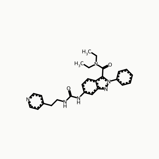 CCN(CC)C(=O)c1c2ccc(NC(=O)NCCc3ccncc3)cc2nn1-c1ccccc1